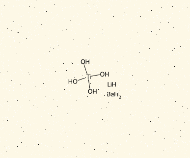 [BaH2].[LiH].[OH][Ti]([OH])([OH])[OH]